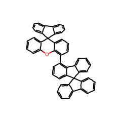 c1ccc2c(c1)Oc1c(-c3cccc4c3-c3ccccc3C43c4ccccc4-c4ccccc43)cccc1C21c2ccccc2-c2ccccc21